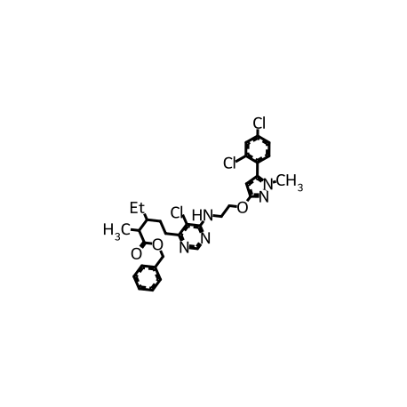 CCC(CCc1ncnc(NCCOc2cc(-c3ccc(Cl)cc3Cl)n(C)n2)c1Cl)C(C)C(=O)OCc1ccccc1